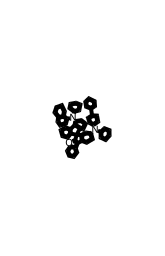 c1ccc(-c2ccc(N(c3ccccc3)c3ccc4c(c3)C3(c5ccccc5-c5c(N(c6ccccc6)c6cccc7ccccc67)cccc53)c3oc5ccccc5c3-4)cc2)cc1